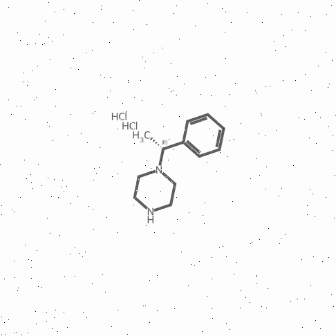 C[C@H](c1ccccc1)N1CCNCC1.Cl.Cl